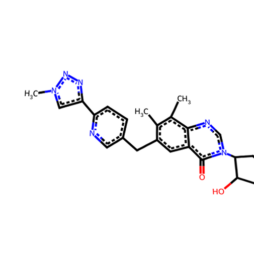 Cc1c(Cc2ccc(-c3cn(C)nn3)nc2)cc2c(=O)n(C3CCCC3O)cnc2c1C